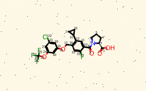 O=C(O)[C@@H]1CCCN1C(=O)c1cc(C2CC2)c(COc2cc(Cl)cc(OC(F)(F)F)c2)cc1F